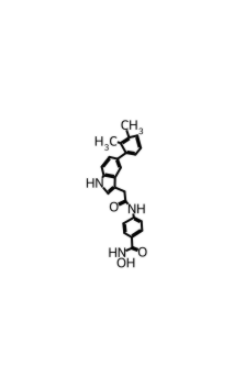 Cc1cccc(-c2ccc3[nH]cc(CC(=O)Nc4ccc(C(=O)NO)cc4)c3c2)c1C